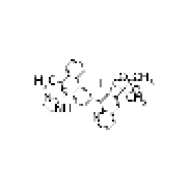 CC(Sc1ncc[nH]1)c1ccccc1-c1cccc(-c2cc(C(C)(C)S(C)(=O)=O)cc3cccnc23)c1